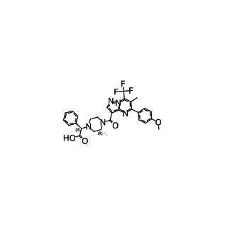 COc1ccc(-c2nc3c(C(=O)N4CCN([C@@H](C(=O)O)c5ccccc5)C[C@H]4C)cnn3c(C(F)(F)F)c2C)cc1